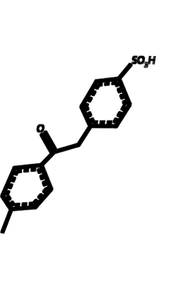 Cc1ccc(C(=O)Cc2ccc(S(=O)(=O)O)cc2)cc1